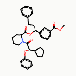 COC(=O)c1cccc([C@@H](CCc2ccccc2)OC(=O)C2CCCCN2C(=O)[C@H](Oc2ccccc2)C2CCCC2)c1